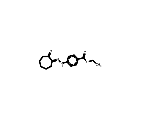 CCOC(=O)c1ccc(N/N=C2\CCCCCC2=O)cc1